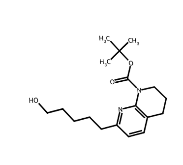 CC(C)(C)OC(=O)N1CCCc2ccc(CCCCCO)nc21